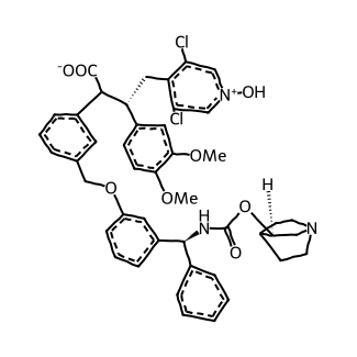 COc1ccc([C@@H](Cc2c(Cl)c[n+](O)cc2Cl)C(C(=O)[O-])c2cccc(COc3cccc([C@@H](NC(=O)O[C@H]4CN5CCC4CC5)c4ccccc4)c3)c2)cc1OC